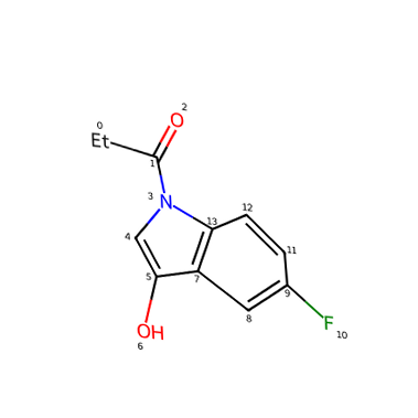 CCC(=O)n1cc(O)c2cc(F)ccc21